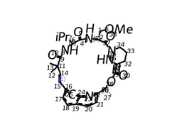 COC[C@@H]1NC(=O)[C@H](C(C)C)NC(=O)C(C)(C)/C=C/c2ccc3ccc(nc3c2)[C@@H](C)OC(=O)[C@@H]2CCCN(N2)C1=O